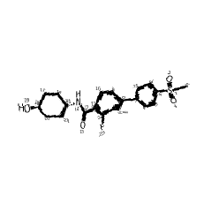 CS(=O)(=O)c1ccc(-c2ccc(C(=O)N[C@H]3CC[C@H](O)CC3)c(F)c2)cc1